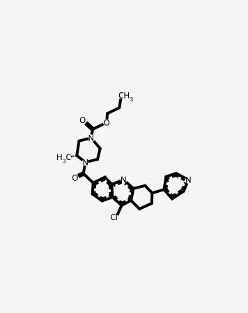 CCCOC(=O)N1CCN(C(=O)c2ccc3c(Cl)c4c(nc3c2)CC(c2ccncc2)CC4)[C@H](C)C1